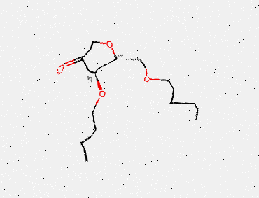 CCCCOC[C@H]1OCC(=O)[C@@H]1OCCCC